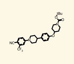 CC(C)(C)OC(=O)N1CCC(Oc2ccc(C3CCN(c4ccc(C#N)c(C(F)(F)F)c4)CC3)cc2)CC1